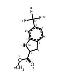 COC(=O)C1Cc2ccc(C(F)(F)F)cc2N1